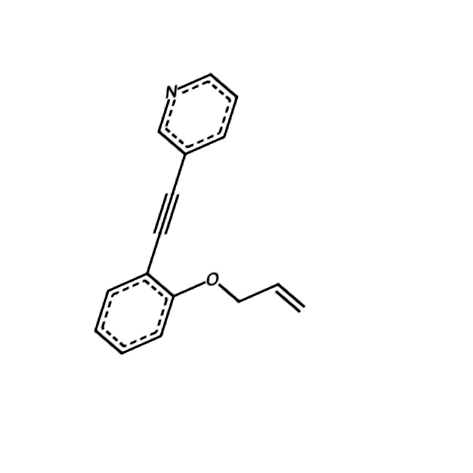 C=CCOc1ccccc1C#Cc1cccnc1